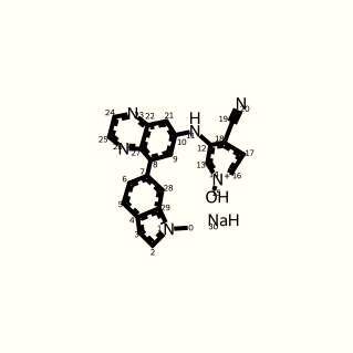 Cn1ccc2ccc(-c3cc(Nc4c[n+](O)ccc4C#N)cc4nccnc34)cc21.[NaH]